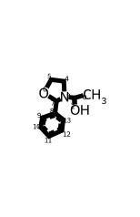 CC(O)N1CCOC1c1ccccc1